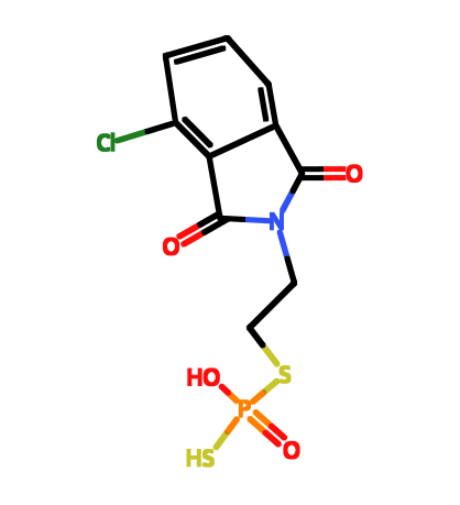 O=C1c2cccc(Cl)c2C(=O)N1CCSP(=O)(O)S